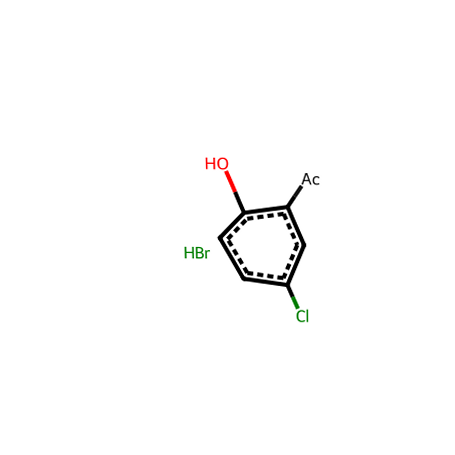 Br.CC(=O)c1cc(Cl)ccc1O